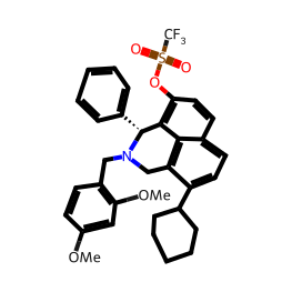 COc1ccc(CN2Cc3c(C4CCCCC4)ccc4ccc(OS(=O)(=O)C(F)(F)F)c(c34)[C@H]2c2ccccc2)c(OC)c1